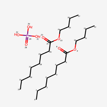 CCCCCCCC(=O)OCCCC.CCCCCCCC(=O)OCCCC.O=P(O)(O)O